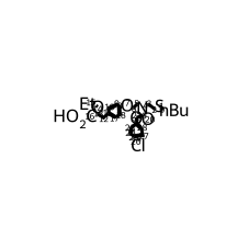 CCCCSCCN(CCOc1ccc(CC(OCC)C(=O)O)cc1)C(=O)Oc1ccc(Cl)cc1